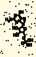 Nc1nc(S)c2ncn(C3OC(COP(=O)(O)O)C(O)C3O)c2n1